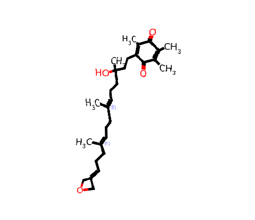 CC1=C(C)C(=O)C(CCC(C)(O)CC/C=C(\C)CC/C=C(\C)CCC=C2COC2)=C(C)C1=O